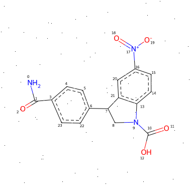 NC(=O)c1ccc(C2CN(C(=O)O)c3ccc([N+](=O)[O-])cc32)cc1